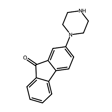 O=C1c2ccccc2-c2ccc(N3CCNCC3)cc21